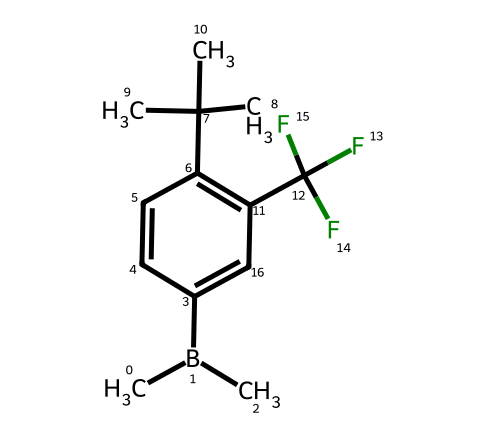 CB(C)c1ccc(C(C)(C)C)c(C(F)(F)F)c1